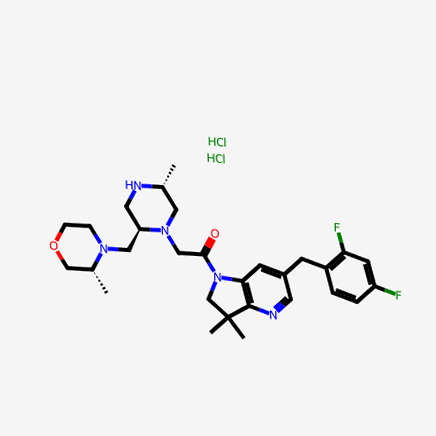 C[C@@H]1CN(CC(=O)N2CC(C)(C)c3ncc(Cc4ccc(F)cc4F)cc32)[C@@H](CN2CCOC[C@H]2C)CN1.Cl.Cl